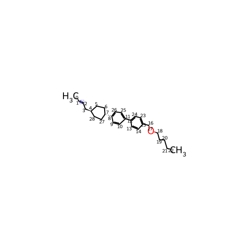 C/C=C/C[C@H]1CC[C@H](c2ccc(-c3ccc(COCCCCC)cc3)cc2)CC1